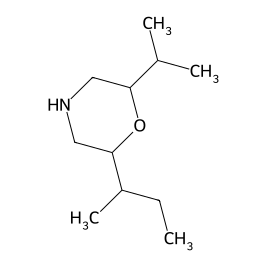 CCC(C)C1CNCC(C(C)C)O1